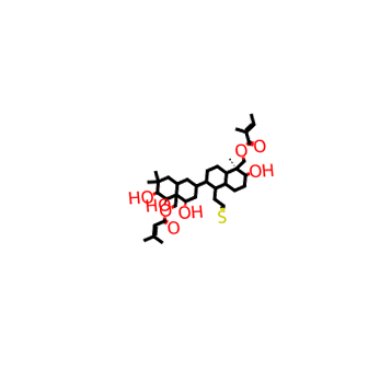 C/C=C(\C)C(=O)OC[C@@]1(C)C(O)CCC2C(CC=S)C(C3CC4CC(C)(C)C(O)[C@H](O)C4(COC(=O)C=C(C)C)[C@H](O)C3)CCC21